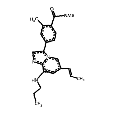 C/C=C/c1cc(NCCC(F)(F)F)c2ncc(-c3ccc(C(=O)NC)c(C)c3)n2c1